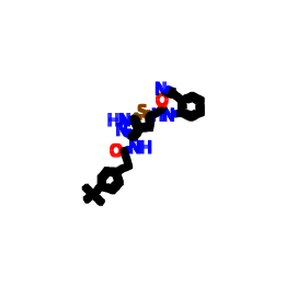 CC(C)(C)c1ccc(CC(=O)Nc2n[nH]c3sc(C(=O)Nc4ccccc4C#N)cc23)cc1